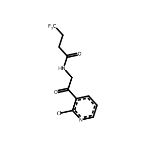 O=C(CCC(F)(F)F)NCC(=O)c1cccnc1Cl